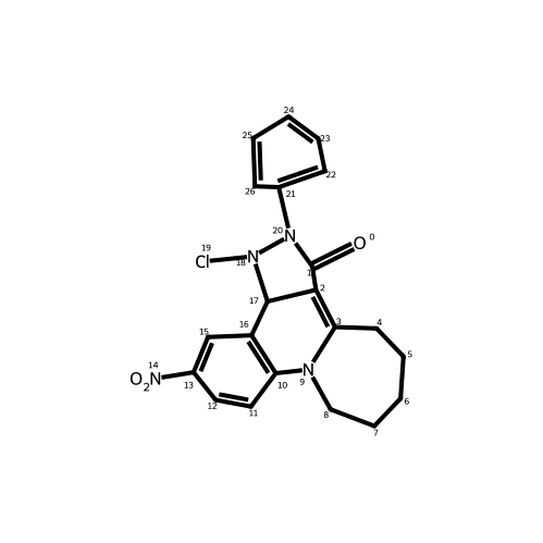 O=C1C2=C3CCCCCN3c3ccc([N+](=O)[O-])cc3C2N(Cl)N1c1ccccc1